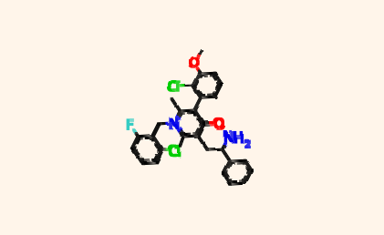 COc1cccc(-c2c(C)n(Cc3c(F)cccc3Cl)c(C)c(CC(N)c3ccccc3)c2=O)c1Cl